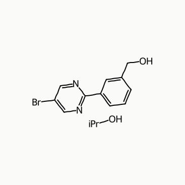 CC(C)O.OCc1cccc(-c2ncc(Br)cn2)c1